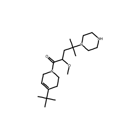 COC(CC(C)(C)N1CCNCC1)C(=O)N1CC=C(C(C)(C)C)CC1